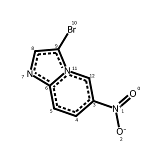 O=[N+]([O-])c1ccc2ncc(Br)n2c1